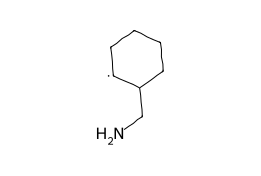 NCC1[CH]CCCC1